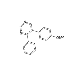 COc1ccc(-c2cncnc2-c2ccccc2)cc1